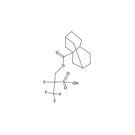 O=C(OCC(F)(C(F)(F)F)S(=O)(=O)O)C12CC3CCC1CCC(C3)C2